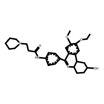 CCOc1cc2c(cc1OC)C(c1ccc(NC(=O)CCN3CCCCC3)cc1)=NC1CCC(O)CC21